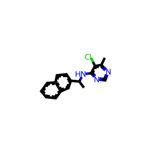 Cc1ncnc(NC(C)c2ccc3ccccc3c2)c1Cl